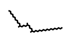 CCCCCCCCCCCCCCCCC(C)CCCC(C)CCCC(C)CCCCCCCCCC